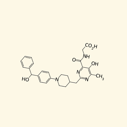 Cc1nc(CC2CCN(c3ccc(C(O)c4ccccc4)cc3)CC2)nc(C(=O)NCC(=O)O)c1O